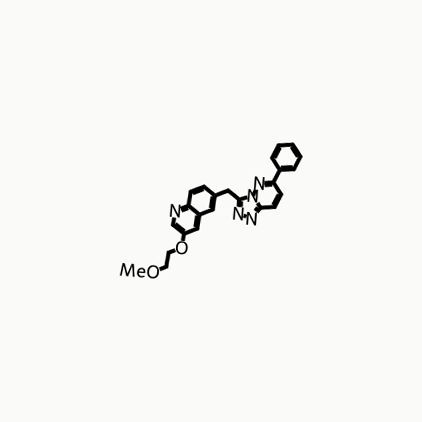 COCCOc1cnc2ccc(Cc3nnc4ccc(-c5ccccc5)nn34)cc2c1